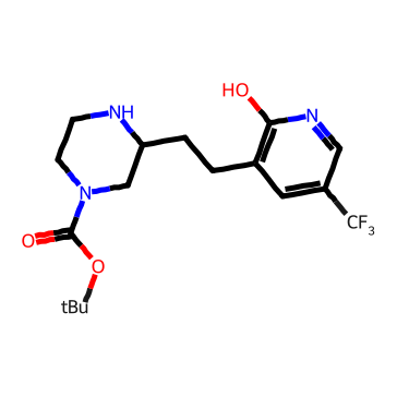 CC(C)(C)OC(=O)N1CCNC(CCc2cc(C(F)(F)F)cnc2O)C1